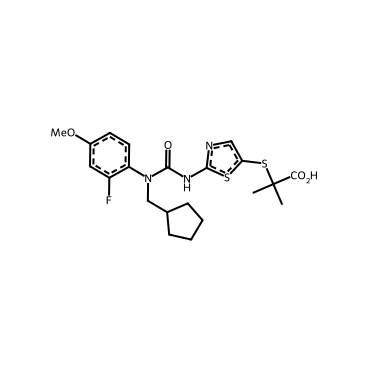 COc1ccc(N(CC2CCCC2)C(=O)Nc2ncc(SC(C)(C)C(=O)O)s2)c(F)c1